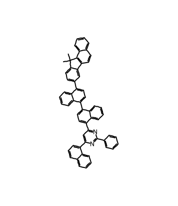 CC1(C)c2ccc(-c3ccc(-c4ccc(-c5cc(-c6cccc7ccccc67)nc(-c6ccccc6)n5)c5ccccc45)c4ccccc34)cc2-c2ccc3ccccc3c21